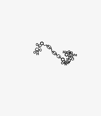 COc1cc(N2CCC(N3CCN(CCN4CCN(CCc5cccc6c5CN(C5CCC(=O)NC5=O)C6=O)CC4)CC3)CC2)ccc1Nc1ncc(Cl)c(Nc2ccccc2P(=O)(OC)OC)n1